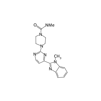 CNC(=O)N1CCN(c2nccc(-c3nc4ccccc4n3C)n2)CC1